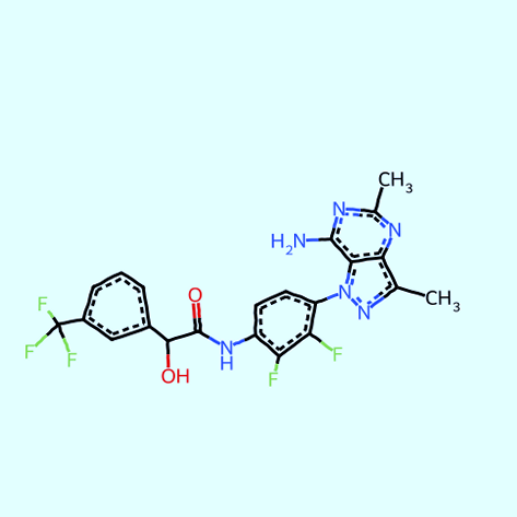 Cc1nc(N)c2c(n1)c(C)nn2-c1ccc(NC(=O)C(O)c2cccc(C(F)(F)F)c2)c(F)c1F